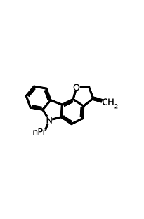 C=C1COc2c1ccc1c2c2ccccc2n1CCC